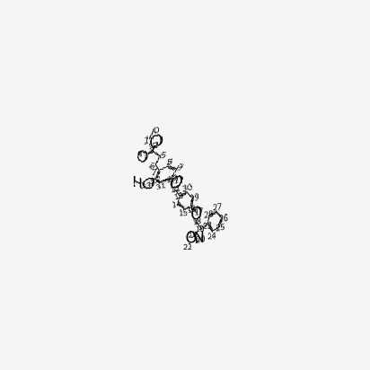 CCOC(=O)CCc1ccc(OCc2ccc(OC/C(=N\OC)c3ccccc3)cc2)cc1O